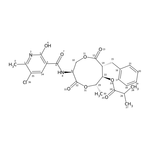 Cc1nc(O)c(C(=O)N[C@H]2COC(=O)[C@H](Cc3ccccc3)[C@@H](OC(=O)C(C)C)[C@H](C)OC2=O)cc1Cl